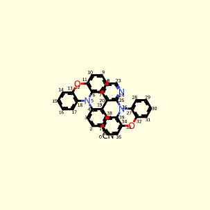 N#Cc1ccc(N2c3ccccc3Oc3ccccc32)c(-c2cccnc2N2c3ccccc3Oc3ccccc32)c1